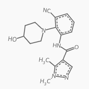 Cc1c(C(=O)Nc2cccc(C#N)c2N2CCC(O)CC2)cnn1C